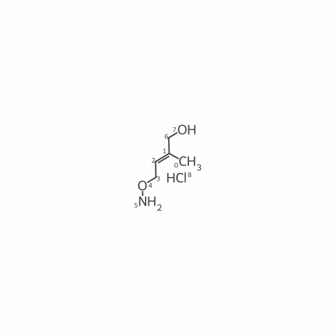 C/C(=C\CON)CO.Cl